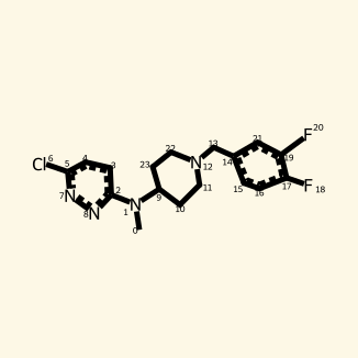 CN(c1ccc(Cl)nn1)C1CCN(Cc2ccc(F)c(F)c2)CC1